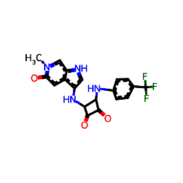 Cn1cc2[nH]cc(NC3C(=O)C(=O)C3Nc3ccc(C(F)(F)F)cc3)c2cc1=O